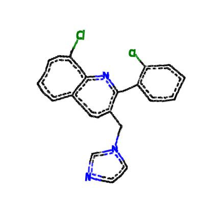 Clc1ccccc1-c1nc2c(Cl)cccc2cc1Cn1ccnc1